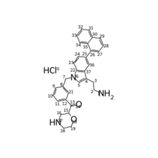 Cl.NCCc1cn(Cc2cccc(C(=O)C3CNCCO3)c2)c2ccc(-c3cccc4ccccc34)cc12